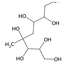 [CH2]C(O)(CC(O)C(O)CO)C(O)C(O)CO